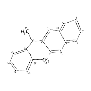 CC(c1cnc2ccccc2c1)c1ccccc1C(F)(F)F